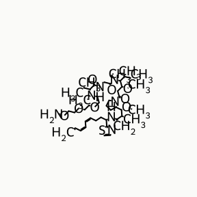 C=C/C=C\C=C/CCC(NC(=C)C(C)C(OC)C1CCCN1C(=O)CC(OC)C(C(C)CC)N(C)C(=O)CNC(=O)C(C(C)C)N(C)CCOCCOCCON)c1nccs1